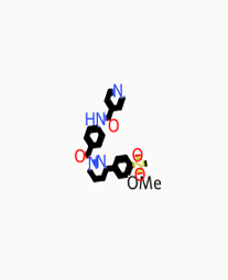 COc1cc(C2=NN(C(=O)c3ccc(NC(=O)c4ccncc4)cc3)CCC2)ccc1S(C)(=O)=O